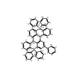 c1ccc(-c2cc3c4c(c2)[Si](c2ccccc2)(c2ccccc2)c2ccccc2B4c2cccc4c2N3c2ccccc2[Si]4(c2ccccc2)c2ccccc2)cc1